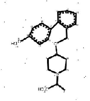 CC(C(=O)O)N1CCC(OCc2ccccc2-c2ccc(Cl)cc2)CC1.Cl